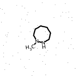 CN1CCCCCCN1